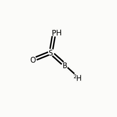 [2H]B=S(=O)=P